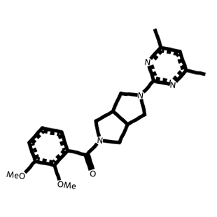 COc1cccc(C(=O)N2CC3CN(c4nc(C)cc(C)n4)CC3C2)c1OC